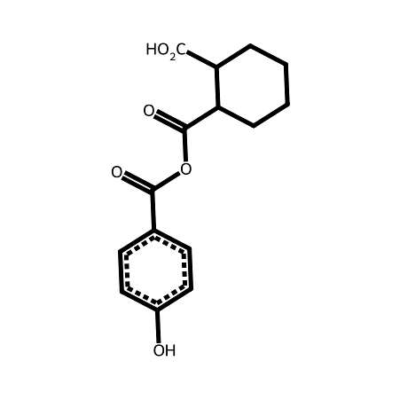 O=C(OC(=O)C1CCCCC1C(=O)O)c1ccc(O)cc1